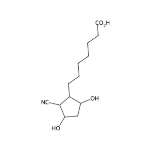 N#CC1C(O)CC(O)C1CCCCCCC(=O)O